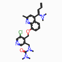 C=C/C=C(/c1cc(C)nc2c(OCc3c(Cl)cncc3CN(C)C(=O)N(C)C)cccc12)N(C)C